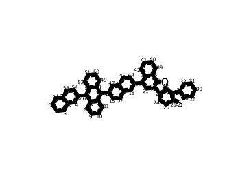 c1ccc2cc(-c3c4ccccc4c(-c4ccc5cc(-c6cc7c8ccc9sc%10ccccc%10c9c8oc7c7ccccc67)ccc5c4)c4ccccc34)ccc2c1